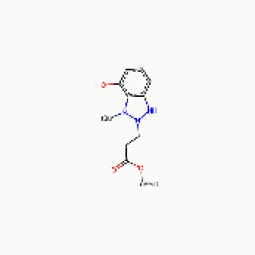 CCCCCOC(=O)CCN1Nc2cccc(O)c2N1C(C)(C)C